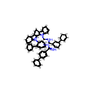 N=C(NC(NCn1c2ccccc2c2ccc3c4ccccc4n(-c4ccccc4-c4ccccc4)c3c21)C1=CCCC(C2C=CCCC2)=C1)c1ccc(-c2ccccc2)cc1